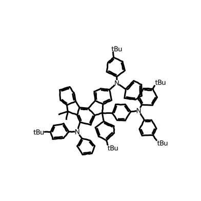 CC(C)(C)c1ccc(N(c2ccc(C(C)(C)C)cc2)c2ccc(C3(c4ccc(C(C)(C)C)cc4)c4cc(N(c5ccccc5)c5ccc(C(C)(C)C)cc5)ccc4-c4c3cc(N(c3ccccc3)c3ccc(C(C)(C)C)cc3)c3c4-c4ccccc4C3(C)C)cc2)cc1